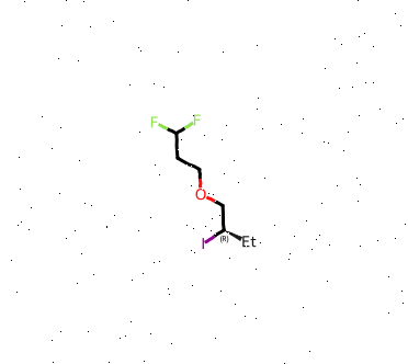 CC[C@@H](I)COCCC(F)F